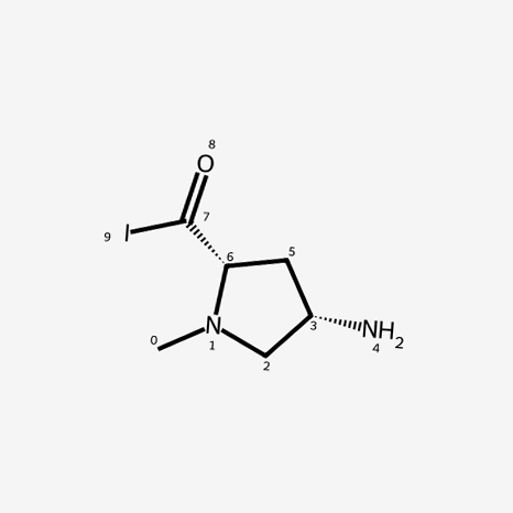 CN1C[C@@H](N)C[C@H]1C(=O)I